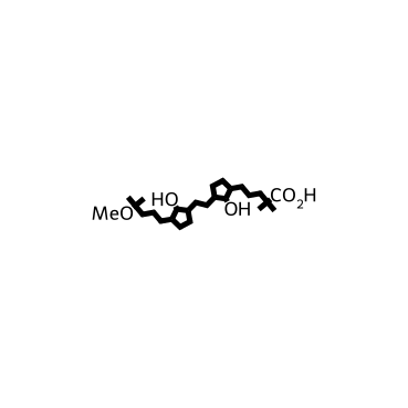 COC(C)(C)CCCC1CCC(CCC2CCC(CCCC(C)(C)C(=O)O)C2O)C1O